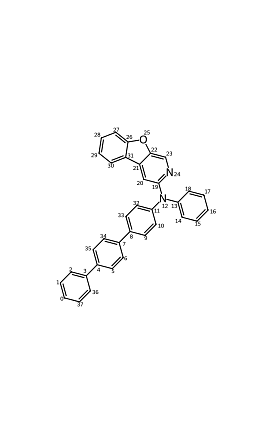 c1ccc(-c2ccc(-c3ccc(N(c4ccccc4)c4cc5c(cn4)oc4ccccc45)cc3)cc2)cc1